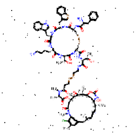 COc1cc2cc(c1Cl)N(C)C(=O)C[C@H](OC(=O)[C@H](C)N(C)C(=O)CCSSCCNC(=O)[C@@H](NC(=O)[C@@H]1CSSC[C@H](NC(=O)[C@H](N)Cc3ccccc3)C(=O)N[C@@H](Cc3csc4ccccc34)C(=O)N[C@H](Cc3c[nH]c4ccccc34)C(=O)N[C@@H](CCCCN)C(=O)NC([C@@H](C)O)C(=O)N1)[C@@H](C)O)[C@]1(C)O[C@H]1[C@H](C)[C@@H]1C[C@@](O)(NC(=O)O1)[C@H](OC)/C=C/C=C(\C)C2